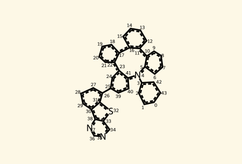 c1ccc(-n2c3ccccc3c3ccccc3c3ccccc3c3cc(-c4cccc5c4sc4cncnc45)ccc32)cc1